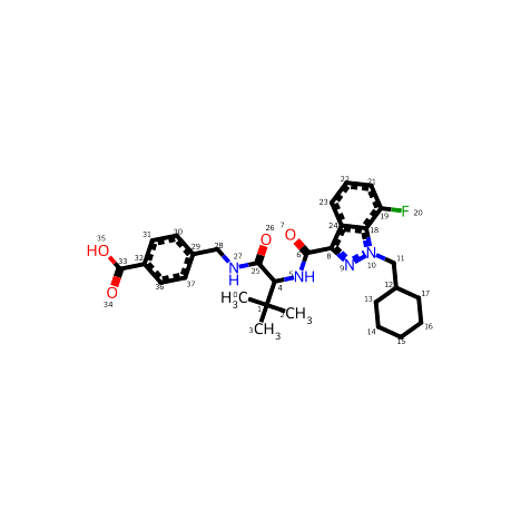 CC(C)(C)C(NC(=O)c1nn(CC2CCCCC2)c2c(F)cccc12)C(=O)NCc1ccc(C(=O)O)cc1